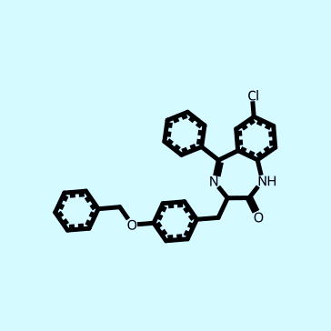 O=C1Nc2ccc(Cl)cc2C(c2ccccc2)=NC1Cc1ccc(OCc2ccccc2)cc1